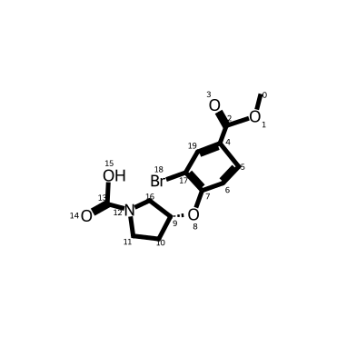 COC(=O)c1ccc(O[C@@H]2CCN(C(=O)O)C2)c(Br)c1